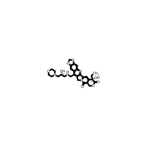 CC[C@@]1(O)C(=O)OCc2c1cc1n(c2=O)Cc2c-1nc1cc3c(cc1c2CNC[C@@H](O)CN1CCOCC1)OCO3